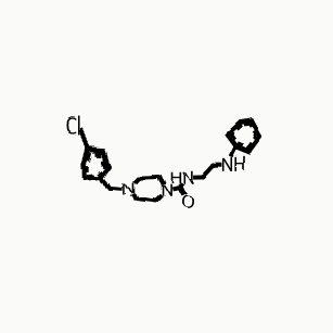 O=C(NCCNc1ccccc1)N1CCN(Cc2ccc(Cl)cc2)CC1